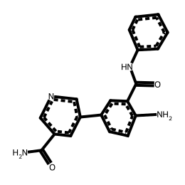 NC(=O)c1cncc(-c2ccc(N)c(C(=O)Nc3ccccc3)c2)c1